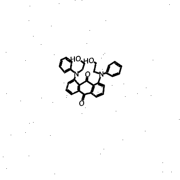 O=C1c2cccc(N(CCO)c3ccccc3)c2C(=O)c2c1cccc2N(CCO)c1ccccc1